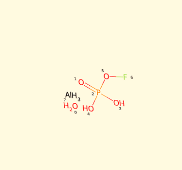 O.O=P(O)(O)OF.[AlH3]